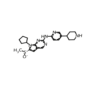 C[S+]([O-])c1cc2cnc(Nc3ccc(C4CCNCC4)cn3)nc2n1C1CCCC1